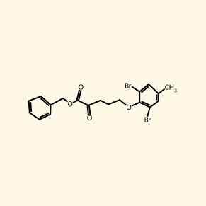 Cc1cc(Br)c(OCCCC(=O)C(=O)OCc2ccccc2)c(Br)c1